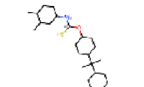 CC1CCC(N[C@H](S)OC2CCC(C(C)(C)C3CCCCC3)CC2)CC1C